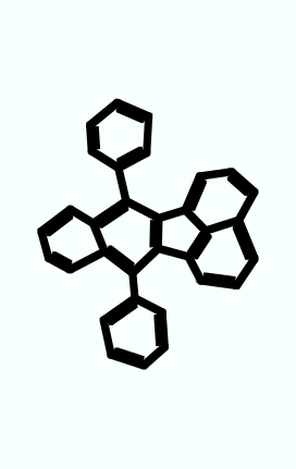 [c]1ccc2cccc3c2c1-c1c-3c(-c2ccccc2)c2ccccc2c1-c1ccccc1